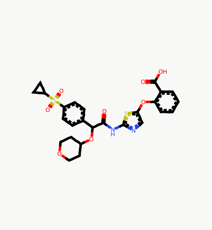 O=C(O)c1ccccc1Oc1cnc(NC(=O)C(OC2CCOCC2)c2ccc(S(=O)(=O)C3CC3)cc2)s1